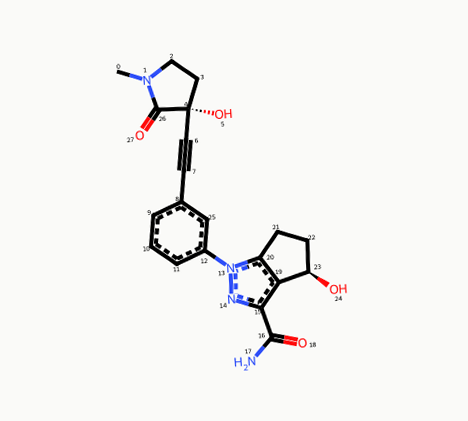 CN1CC[C@@](O)(C#Cc2cccc(-n3nc(C(N)=O)c4c3CC[C@H]4O)c2)C1=O